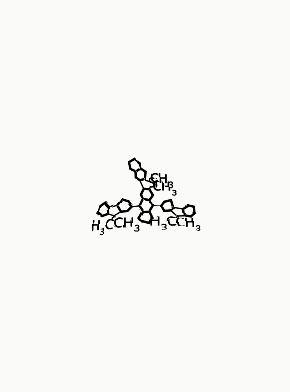 CC1(C)c2ccccc2-c2ccc(-c3c4ccccc4c(-c4ccc5c(c4)C(C)(C)c4ccccc4-5)c4cc5c(cc34)-c3cc4ccccc4cc3[Si]5(C)C)cc21